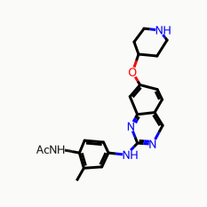 CC(=O)Nc1ccc(Nc2ncc3ccc(OC4CCNCC4)cc3n2)cc1C